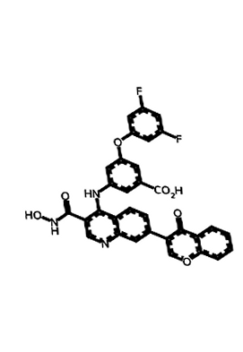 O=C(O)c1cc(Nc2c(C(=O)NO)cnc3cc(-c4coc5ccccc5c4=O)ccc23)cc(Oc2cc(F)cc(F)c2)c1